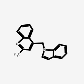 Cc1cc(Cn2[c]cc3ccccc32)c2ccccc2n1